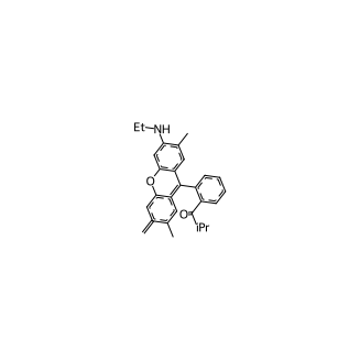 C=c1cc2c(cc1C)=C(c1ccccc1C(=O)C(C)C)c1cc(C)c(NCC)cc1O2